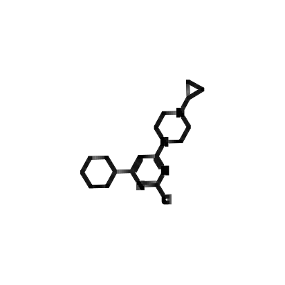 Clc1nc(C2CCCCC2)cc(N2CCN(C3CC3)CC2)n1